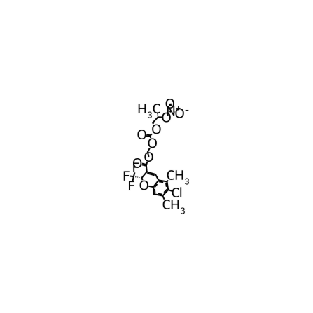 Cc1cc2c(c(C)c1Cl)C=C(C(=O)OCOC(=O)OC[C@H](C)O[N+](=O)[O-])[C@@H](C(F)(F)F)O2